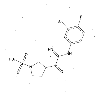 N=C(Nc1ccc(F)c(Br)c1)C(=O)C1CCN(S(N)(=O)=O)C1